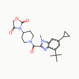 Cn1c(C(=O)N2CCC(N3C(=O)COC3=O)CC2)nc2c(C(C)(C)C)cc(C3CC3)cc21